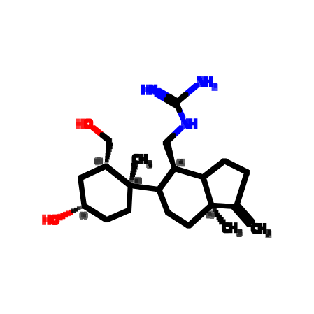 C=C1CCC2[C@H](CNC(=N)N)C([C@@]3(C)CC[C@H](O)C[C@@H]3CO)CC[C@]12C